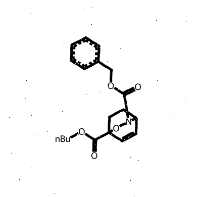 CCCCOC(=O)C12C=CC(CC1)N(C(=O)OCc1ccccc1)O2